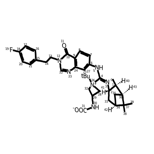 C[C@@H]1[C@@H](/N=C(/Nc2ccc3c(=O)n(CCc4ccc(F)cc4)cnc3c2)[N+]2(C(C)(C)C)CC(NC(=O)[O-])C2)C[C@H]2C[C@@H]1C2(C)C